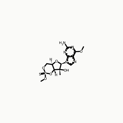 COc1nc(N)nc2c1ncn2[C@@H]1O[C@@H]2COP(=S)(OC)O[C@H]2[C@@]1(C)O